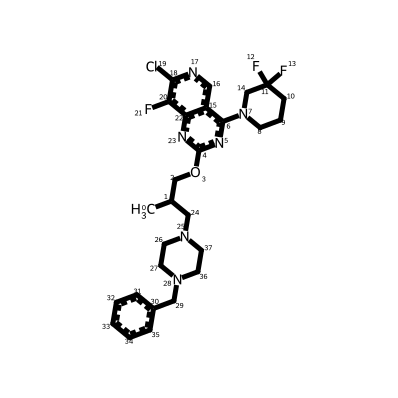 CC(COc1nc(N2CCCC(F)(F)C2)c2cnc(Cl)c(F)c2n1)CN1CCN(Cc2ccccc2)CC1